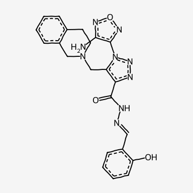 Nc1nonc1-n1nnc(C(=O)N/N=C/c2ccccc2O)c1CN1CCc2ccccc2C1